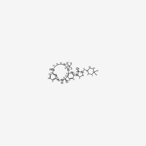 CC1(C)CCC(CN2CCN(c3ccc4c(n3)N3CC(CCCNc5cccc(n5)SNC4=O)CC3(C)C)C2=O)CC1